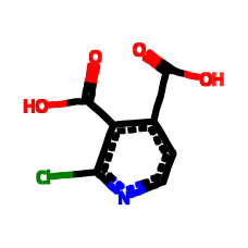 O=C(O)c1ccnc(Cl)c1C(=O)O